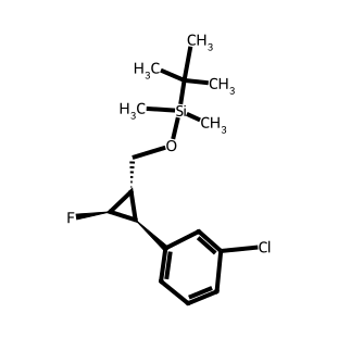 CC(C)(C)[Si](C)(C)OC[C@H]1[C@H](F)[C@@H]1c1cccc(Cl)c1